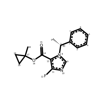 C[C@H](c1ccccc1)n1cnc(F)c1C(=O)OC1(C)CC1